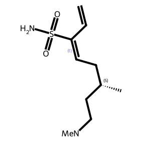 C=C/C(=C\C[C@H](C)CCNC)S(N)(=O)=O